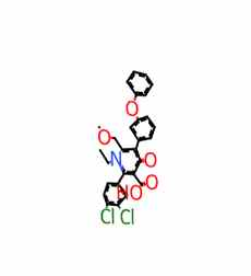 CCn1c(COC)c(-c2cccc(Oc3ccccc3)c2)c(=O)c(C(=O)O)c1-c1ccc(Cl)c(Cl)c1